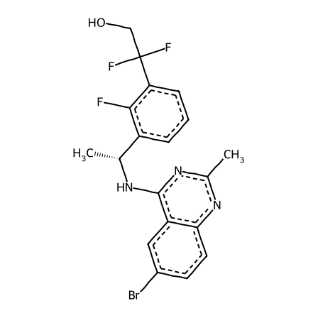 Cc1nc(N[C@H](C)c2cccc(C(F)(F)CO)c2F)c2cc(Br)ccc2n1